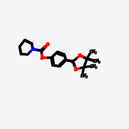 CC1(C)OB(c2ccc(OC(=O)N3CCCCC3)cc2)OC1(C)C